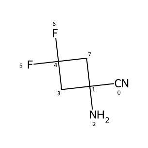 N#CC1(N)CC(F)(F)C1